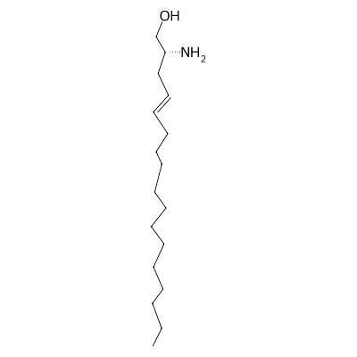 CCCCCCCCCCCC/C=C/C[C@@H](N)CO